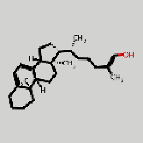 CC(=CO)CCC[C@@H](C)[C@H]1CC[C@H]2C3=CC=C4CCCC[C@]4(C)[C@H]3CC[C@]12C